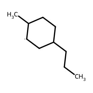 CCCC1C[CH]C(C)CC1